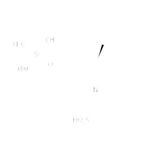 CC(C)(C)[Si](C)(C)OC[C@H]1CN(CC(=O)O)C[C@@H]1c1ccccc1